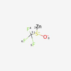 [O-][S+]([Zn])C(F)(F)F